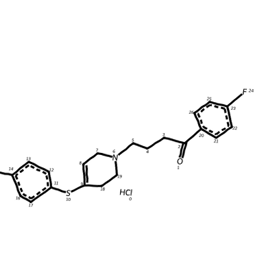 Cl.O=C(CCCN1CC=C(Sc2ccc(F)cc2)CC1)c1ccc(F)cc1